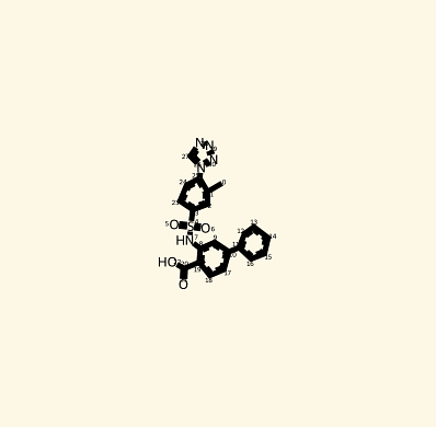 Cc1cc(S(=O)(=O)Nc2cc(-c3ccccc3)ccc2C(=O)O)ccc1-n1cnnn1